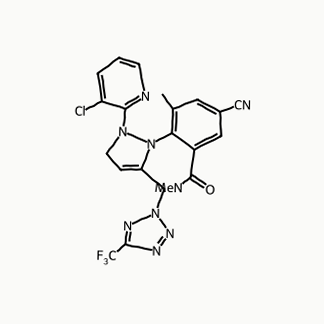 CNC(=O)c1cc(C#N)cc(C)c1N1C(Cn2nnc(C(F)(F)F)n2)=CCN1c1ncccc1Cl